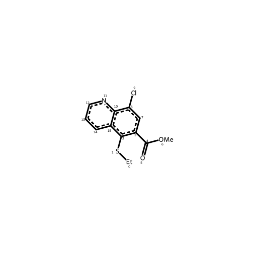 CCSc1c(C(=O)OC)cc(Cl)c2ncccc12